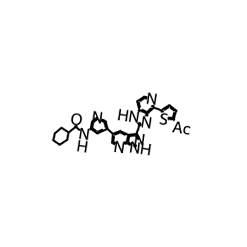 CC(=O)c1ccc(-c2nccc3[nH]c(-c4n[nH]c5ncc(-c6cncc(NC(=O)C7CCCCC7)c6)cc45)nc23)s1